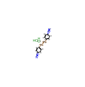 Cl.Cl.[N-]=[N+]=C1C=CC(SSSSC2=CCC(=[N+]=[N-])C=C2)=CC1